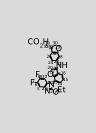 CCOc1nc2cc(F)c(F)cc2n1-c1cccc2c1OC[C@H]2Nc1ccc2c(c1)OC[C@H]2CC(=O)O